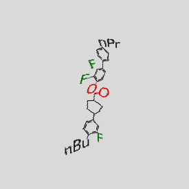 CCCCc1ccc(C2CCC(C(=O)Oc3ccc(-c4ccc(CCC)cc4)c(F)c3F)CC2)cc1F